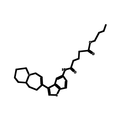 CCCCOC(=O)CCCC(=O)Nc1ccc2scc(C3=CCN4CCCCC4CC3)c2c1